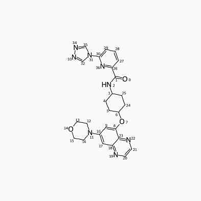 O=C(NC1CCC(Oc2cc(N3CCOCC3)cc3nccnc23)CC1)c1cccc(-n2cnnc2)n1